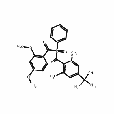 COc1ccc(C(=O)P(=O)(C(=O)c2c(C)cc(C(C)(C)C)cc2C)c2ccccc2)c(OC)c1